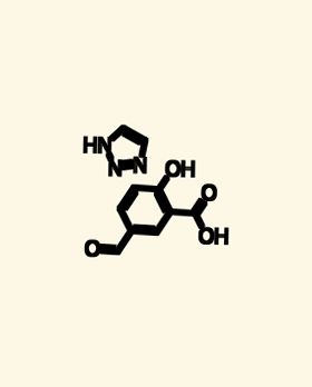 O=Cc1ccc(O)c(C(=O)O)c1.c1c[nH]nn1